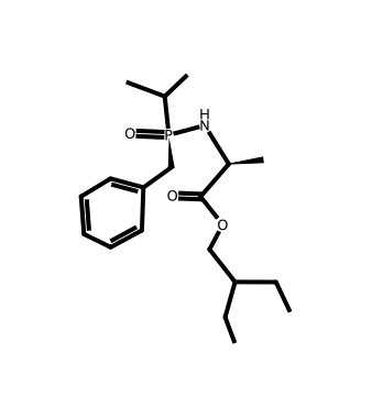 CCC(CC)COC(=O)[C@H](C)N[P@@](=O)(Cc1ccccc1)C(C)C